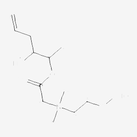 C=CCC(O)C(C)OC(=O)C[N+](C)(C)CCOC=O